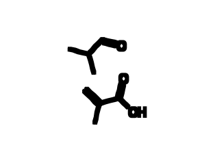 C=C(C)C(=O)O.CC(C)C=O